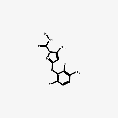 CCNC(=O)n1nc(Oc2c(Cl)ccc(C(F)(F)F)c2Cl)cc1C